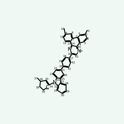 Cc1ccc2c(c1)c1cc(C)ccc1c1nc(-c3ccc(-c4ccc5c(c4)c4ccccc4n5C4=CC(C)CCC4)cc3)cnc21